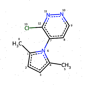 Cc1ccc(C)n1-c1ccnnc1Cl